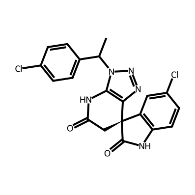 CC(c1ccc(Cl)cc1)n1nnc2c1NC(=O)C[C@@]21C(=O)Nc2ccc(Cl)cc21